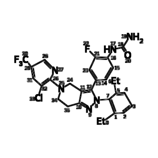 CCc1cccc(CC)c1-n1nc2c(c1-c1ccc(NC(N)=O)c(F)c1)CN(c1ncc(C(F)(F)F)cc1Cl)CC2